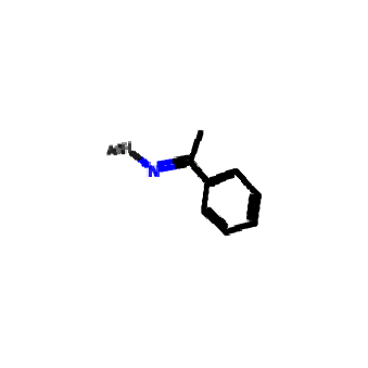 CC(=O)NN=C(C)c1ccccc1